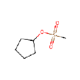 CS(=O)(=O)OC1C[CH]CC1